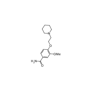 COc1cc(C(N)=O)ccc1OCCN1CCCCC1